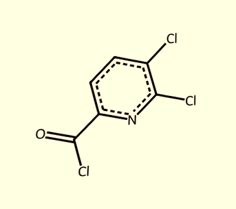 O=C(Cl)c1ccc(Cl)c(Cl)n1